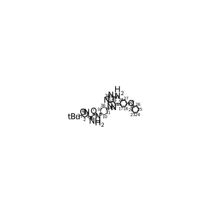 CC(C)(C)c1cc([C@H](N)C(=O)N[C@H]2CC[C@@H](n3nc(-c4ccc(Oc5ccccc5)cc4)c4c(N)ncnc43)CC2)no1